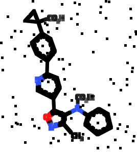 CCOC(=O)N(c1ccccc1)c1c(C)noc1-c1ccc(-c2ccc(C3(C(=O)O)CC3)cc2)nc1